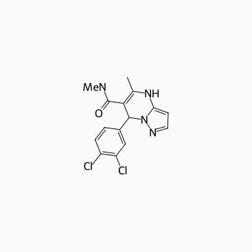 CNC(=O)C1=C(C)Nc2ccnn2C1c1ccc(Cl)c(Cl)c1